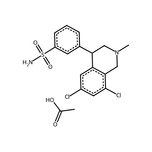 CC(=O)O.CN1Cc2c(Cl)cc(Cl)cc2C(c2cccc(S(N)(=O)=O)c2)C1